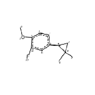 COc1ccc(C2CC2(C)C)cc1F